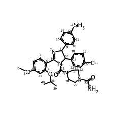 COc1ccc(C2=NC(c3ccc([SiH3])cc3)C(c3ccc(Cl)cc3)N2C(=O)N2CCN(C(N)=O)CC2)c(OC(C)C)c1